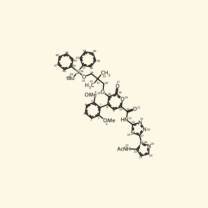 COc1cccc(OC)c1-c1cc(C(=O)Nc2nnc(-n3nccc3NC(C)=O)s2)oc(=O)c1OCC(C)(C)CO[Si](c1ccccc1)(c1ccccc1)C(C)(C)C